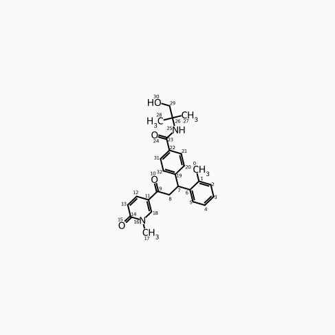 Cc1ccccc1C(CC(=O)c1ccc(=O)n(C)c1)c1ccc(C(=O)NC(C)(C)CO)cc1